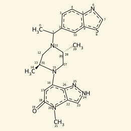 CC(c1ccc2ncsc2c1)N1C[C@H](C)N(c2cc(=O)n(C)c3c[nH]nc23)C[C@H]1C